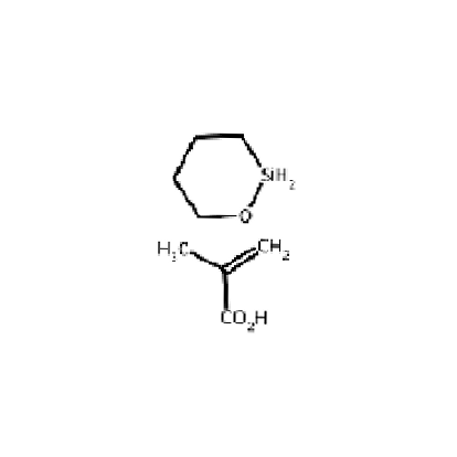 C1CC[SiH2]OC1.C=C(C)C(=O)O